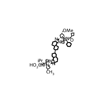 COC[C@H]1C[C@@H](c2nc3ccc4cc(-c5ccc6c(ccc7nc([C@@H]8C[C@H](C)CN8C(=O)[C@@H](NC(=O)O)C(C)C)[nH]c76)c5)ccc4c3[nH]2)N(C(=O)[C@H](NC(=O)C2CCC2)c2ccccc2)C1